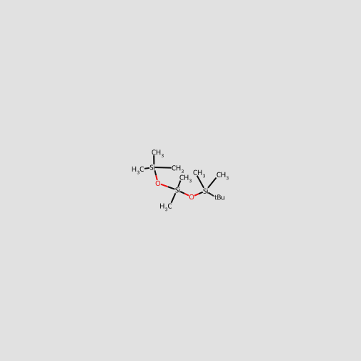 CC(C)(C)[Si](C)(C)O[Si](C)(C)O[Si](C)(C)C